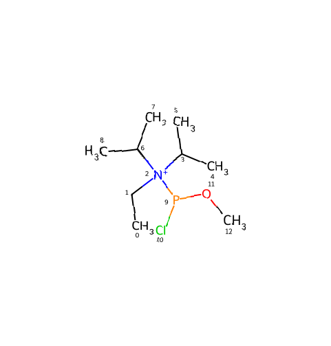 CC[N+](C(C)C)(C(C)C)P(Cl)OC